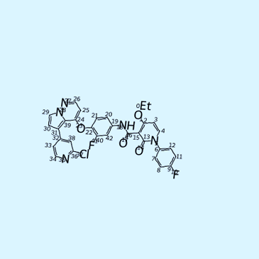 CCOc1ccn(-c2ccc(F)cc2)c(=O)c1C(=O)Nc1ccc(Oc2ccnn3ccc(-c4ccnc(Cl)c4)c23)c(F)c1